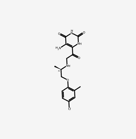 Cc1cc(Cl)ccc1OC[C@@H](C)NCC(=O)c1[nH]c(=O)[nH]c(=O)c1N